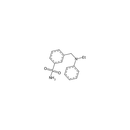 CCN(Cc1cccc(S(N)(=O)=O)c1)c1ccccc1